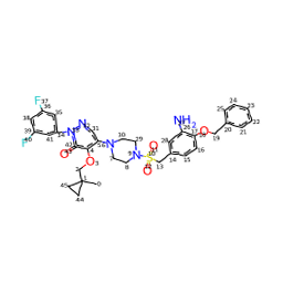 CC1(COc2c(N3CCN(S(=O)(=O)Cc4ccc(OCc5ccccc5)c(N)c4)CC3)cnn(-c3cc(F)cc(F)c3)c2=O)CC1